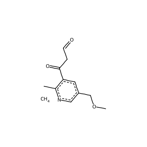 C.COCc1cnc(C)c(C(=O)CC=O)c1